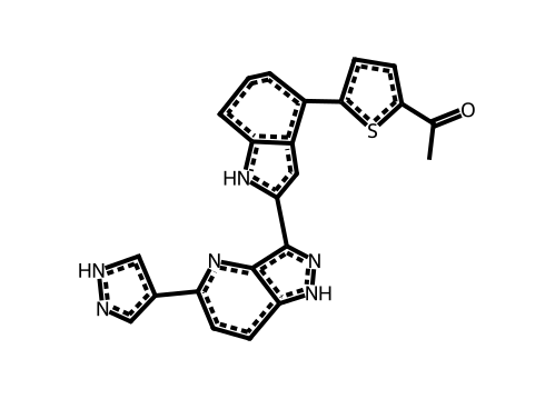 CC(=O)c1ccc(-c2cccc3[nH]c(-c4n[nH]c5ccc(-c6cn[nH]c6)nc45)cc23)s1